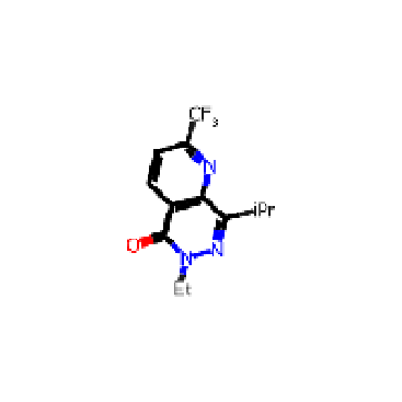 CCn1nc(C(C)C)c2nc(C(F)(F)F)ccc2c1=O